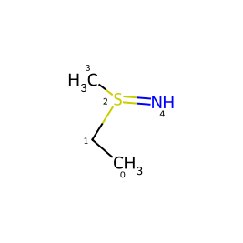 CCS(C)=N